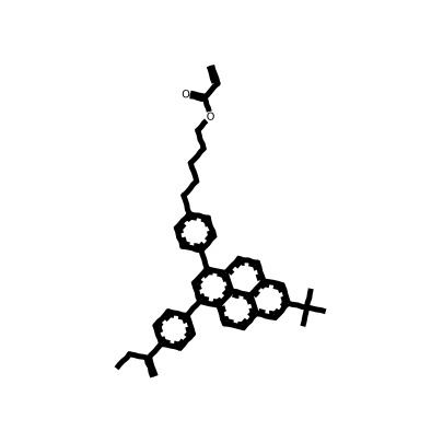 C=CC(=O)OCCCCCc1ccc(-c2cc(-c3ccc(C(=C)CC)cc3)c3ccc4cc(C(C)(C)C)cc5ccc2c3c54)cc1